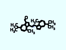 Cc1ccc(C(C)C)cc2ccc(/C=C/c3cc(C=O)c4cc(C(C)C)ccc(C)c3-4)c1-2